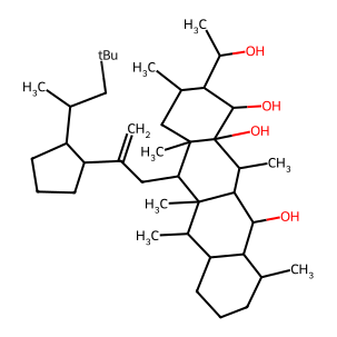 C=C(CC1C2(C)C(C)C3CCCC(C)C3C(O)C2C(C)C2(O)C(O)C(C(C)O)C(C)CC12C)C1CCCC1C(C)CC(C)(C)C